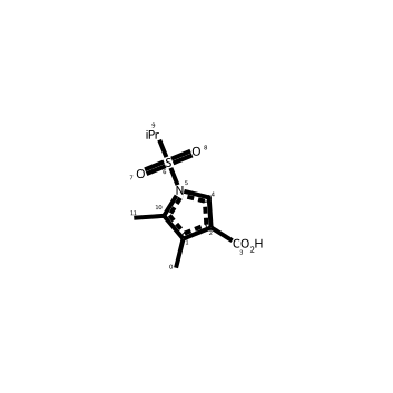 Cc1c(C(=O)O)cn(S(=O)(=O)C(C)C)c1C